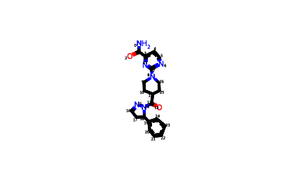 NC(=O)c1ccnc(N2CCC(C(=O)N3N=CCC3c3ccccc3)CC2)n1